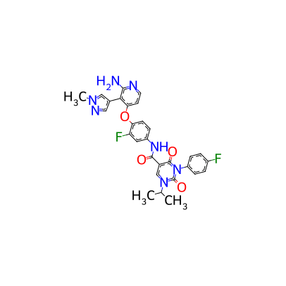 CC(C)n1cc(C(=O)Nc2ccc(Oc3ccnc(N)c3-c3cnn(C)c3)c(F)c2)c(=O)n(-c2ccc(F)cc2)c1=O